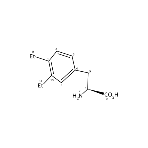 CCc1ccc(C[C@H](N)C(=O)O)cc1CC